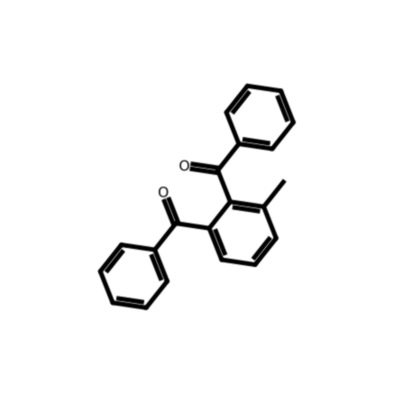 Cc1cccc(C(=O)c2ccccc2)c1C(=O)c1ccccc1